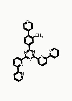 Cc1cc(-c2nc(-c3cccc(-c4ccccn4)n3)nc(-c3cccc(-c4ccccn4)n3)n2)ccc1-c1ccncc1